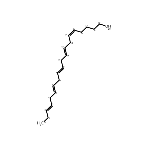 CCC=CCC=CCC=CCC=CC/C=C\CCCCO